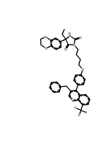 CCC1(c2ccc3c(c2)OCCO3)NC(=O)N(CCCCOc2ccc(-c3c(Cc4ccccc4)cnc4c(C(F)(F)F)cccc34)cc2)C1=O